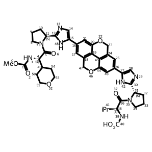 COC(=O)N[C@H](C(=O)N1CCC[C@H]1c1ncc(-c2cc3c4c(c2)OCc2cc(-c5cnc([C@@H]6CCCN6C(=O)[C@@H](NC(=O)O)C(C)C)[nH]5)cc(c2-4)OC3)[nH]1)C1CCOCC1